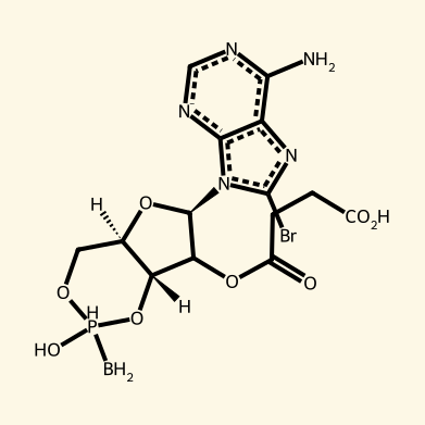 B[PH]1(O)OC[C@H]2O[C@@H](n3c(Br)nc4c(N)ncnc43)C(OC(=O)CCC(=O)O)[C@@H]2O1